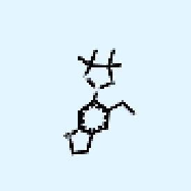 CC1(C)OB(c2cc3c(cc2CF)CCN3)OC1(C)C